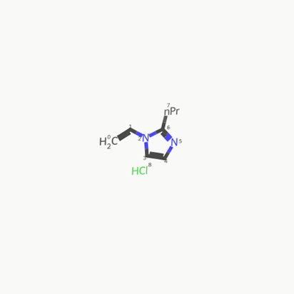 C=Cn1ccnc1CCC.Cl